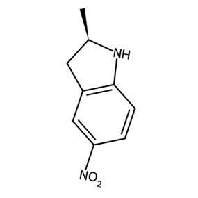 C[C@@H]1Cc2cc([N+](=O)[O-])ccc2N1